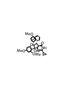 COc1ccc([C@@]23Oc4cc(OC)cc(OC)c4[C@]2(O)c2nc(C4CC4)[nH]c(=O)c2[C@H]3C2C=CC=CC2C)cc1